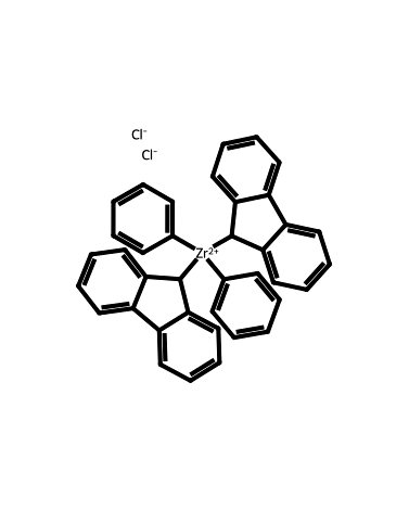 [Cl-].[Cl-].c1cc[c]([Zr+2]([c]2ccccc2)([CH]2c3ccccc3-c3ccccc32)[CH]2c3ccccc3-c3ccccc32)cc1